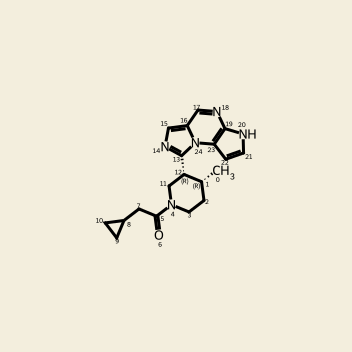 C[C@@H]1CCN(C(=O)CC2CC2)C[C@@H]1c1ncc2cnc3[nH]ccc3n12